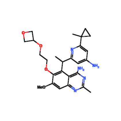 COc1cc2nc(C)nc(N)c2c(C(C)c2cc(N)cc(C3(C)CC3)n2)c1OCCOC1COC1